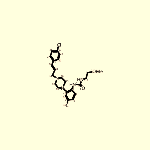 COCCNC(=O)Nc1ccc(Cl)cc1N1CCN(CC=Cc2ccc(Cl)cc2)CC1